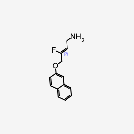 NC/C=C(\F)COc1ccc2ccccc2c1